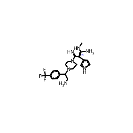 CN/C(N)=C(\C(=N)N1CCN(C(CN)c2ccc(C(F)(F)F)cc2)CC1)c1cc[nH]c1